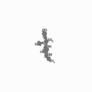 Cc1ccc(-n2ncc(N=Nc3ccc4c(O)c(N=Nc5cc(C)c(N=Nc6nc7ccc(CO)cc7s6)cc5OCCCS(=O)(=O)O)ccc4c3S(=O)(=O)O)c2O)cc1